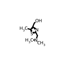 Cc1sc(CN(C)C)nc1CO